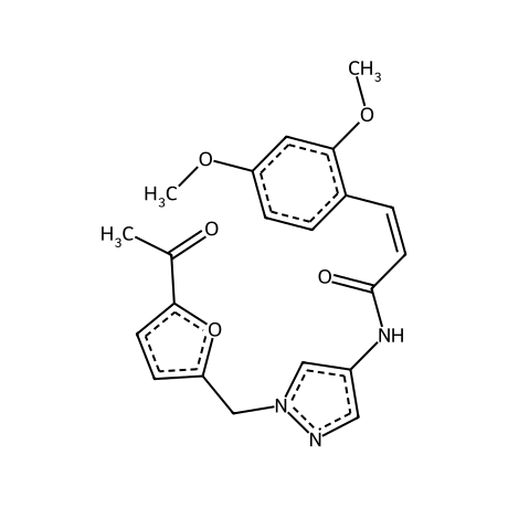 COc1ccc(/C=C\C(=O)Nc2cnn(Cc3ccc(C(C)=O)o3)c2)c(OC)c1